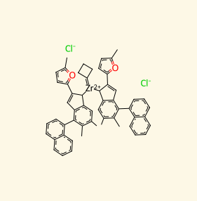 Cc1ccc(C2=Cc3c(cc(C)c(C)c3-c3cccc4ccccc34)[CH]2[Zr+2](=[C]2CCC2)[CH]2C(c3ccc(C)o3)=Cc3c2cc(C)c(C)c3-c2cccc3ccccc23)o1.[Cl-].[Cl-]